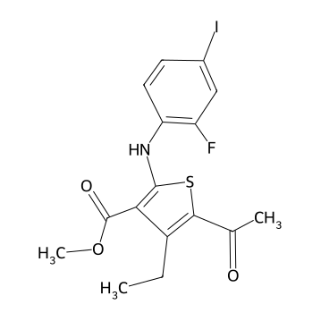 CCc1c(C(C)=O)sc(Nc2ccc(I)cc2F)c1C(=O)OC